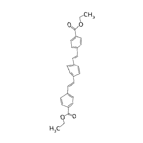 CCOC(=O)c1ccc(C=Cc2ccc(C=Cc3ccc(C(=O)OCC)cc3)cc2)cc1